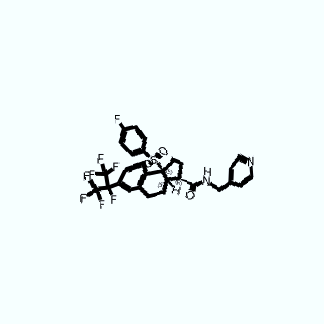 O=C(NCc1ccncc1)[C@@H]1CC[C@@]2(S(=O)(=O)c3ccc(F)cc3)c3ccc(C(F)(C(F)(F)F)C(F)(F)F)cc3CC[C@@H]12